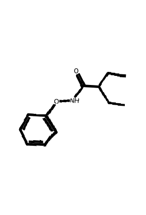 CCC(CC)C(=O)NOc1ccccc1